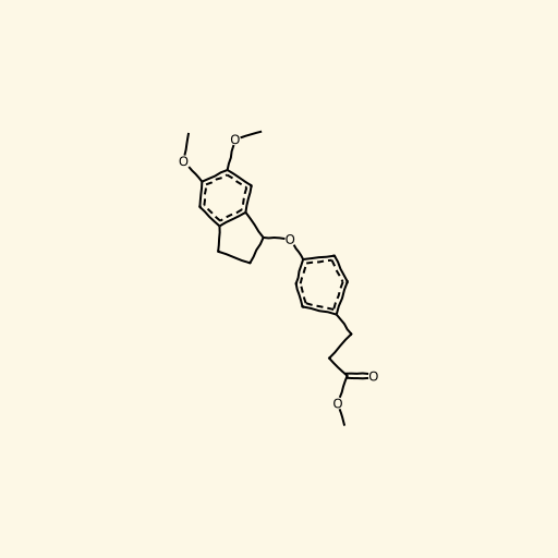 COC(=O)CCc1ccc(OC2CCc3cc(OC)c(OC)cc32)cc1